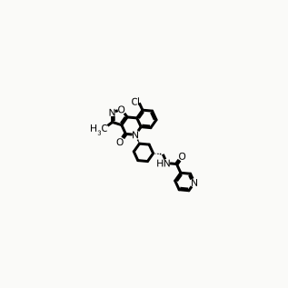 Cc1noc2c1c(=O)n([C@H]1CCC[C@@H](CNC(=O)c3cccnc3)C1)c1cccc(Cl)c21